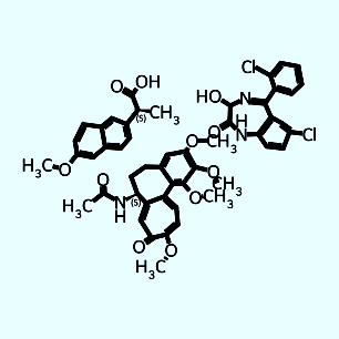 COc1cc2c(c(OC)c1OC)-c1ccc(OC)c(=O)cc1[C@@H](NC(C)=O)CC2.COc1ccc2cc([C@H](C)C(=O)O)ccc2c1.O=C1Nc2ccc(Cl)cc2C(c2ccccc2Cl)=NC1O